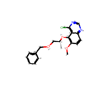 COc1ccc2ncnc(Cl)c2c1O[C@H](C)COCc1ccccc1